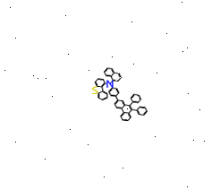 c1ccc(-c2c(-c3ccccc3)c3cc(-c4ccc(N(c5cccc6ccccc56)c5cccc6sc7ccccc7c56)cc4)ccc3c3ccccc23)cc1